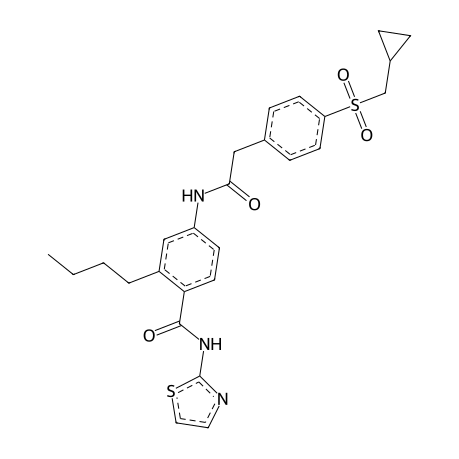 CCCCc1cc(NC(=O)Cc2ccc(S(=O)(=O)CC3CC3)cc2)ccc1C(=O)Nc1nccs1